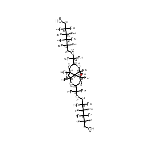 OCC(F)(F)C(F)(F)C(F)(F)C(F)(F)COC(F)(F)C1OC(F)(F)C2(C(F)(F)O1)C(F)(F)OC(C(F)(F)OCC(F)(F)C(F)(F)C(F)(F)C(F)(F)CO)OC2(F)F